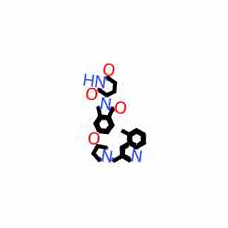 Cc1cccc2ncc(CN3CC[C@H](Oc4ccc5c(c4)CN(C4CCC(=O)NC4=O)C5=O)C3)cc12